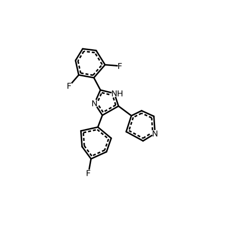 Fc1ccc(-c2nc(-c3c(F)cccc3F)[nH]c2-c2ccncc2)cc1